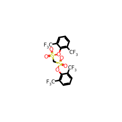 O=S(=O)(CS(=O)(=O)Oc1c(C(F)(F)F)cccc1C(F)(F)F)Oc1c(C(F)(F)F)cccc1C(F)(F)F